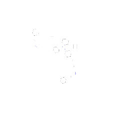 Cc1ccc(C)c(N(c2ccc(C=CC=C/C=C\C=Cc3ccccc3)cc2)c2ccc(C=CC=C/C=C\C=Cc3ccccc3)cc2)c1